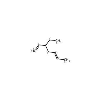 [CH]=CC(CC)CC=CC